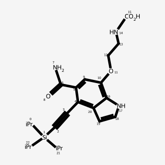 CC(C)[Si](C#Cc1c(C(N)=O)cc(OCCNC(=O)O)c2[nH]ccc12)(C(C)C)C(C)C